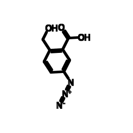 [N-]=[N+]=Nc1ccc(CO)c(C(=O)O)c1